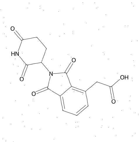 O=C(O)Cc1cccc2c1C(=O)N(C1CCC(=O)NC1=O)C2=O